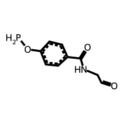 O=CCNC(=O)c1ccc(OP)cc1